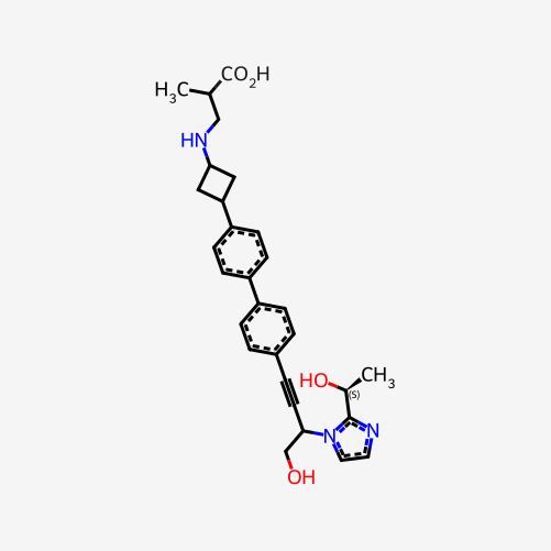 CC(CNC1CC(c2ccc(-c3ccc(C#CC(CO)n4ccnc4[C@H](C)O)cc3)cc2)C1)C(=O)O